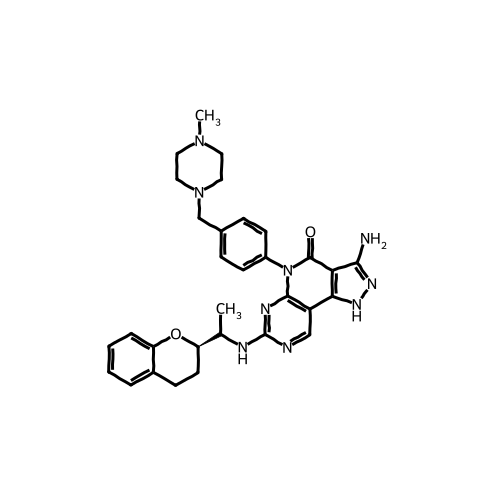 CC(Nc1ncc2c3[nH]nc(N)c3c(=O)n(-c3ccc(CN4CCN(C)CC4)cc3)c2n1)[C@H]1CCc2ccccc2O1